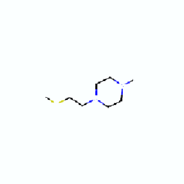 CCSCCN1CCN(C)CC1